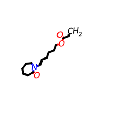 C=CC(=O)OCCCC/C=C/N1CCCCCC1=O